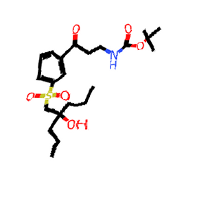 CCCC(O)(CCC)CS(=O)(=O)c1cccc(C(=O)CCNC(=O)OC(C)(C)C)c1